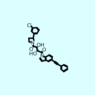 O=C([C@H](O)[C@@H](O)C(=O)n1ccc2cc(C#Cc3ccccc3)ccc21)N1CCC(c2cccc(Cl)c2)C1